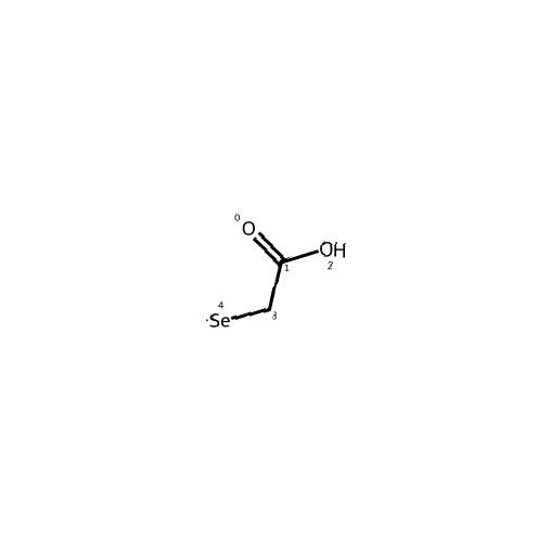 O=C(O)C[Se]